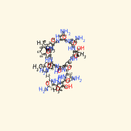 CC(C)CCCCC(=O)N[C@@H](CCN)C(=O)N[C@H](C(=O)N[C@@H](CCN)C(=O)N[C@H]1CCNC(=O)[C@H]([C@@H](C)O)NC(=O)[C@H](CCN)NC(=O)[C@H](CCN)NC(=O)[C@H](CC(C)C)NC(=O)[C@@H](Cc2ccccc2)NC(=O)[C@@H](CCN)NC1=O)[C@@H](C)O